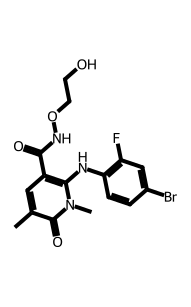 Cc1cc(C(=O)NOCCO)c(Nc2ccc(Br)cc2F)n(C)c1=O